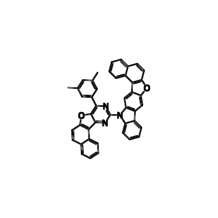 Cc1cc(C)cc(-c2nc(-n3c4ccccc4c4cc5oc6ccc7ccccc7c6c5cc43)nc3c2oc2ccc4ccccc4c23)c1